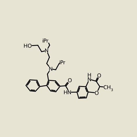 CC(C)CN(CCO)CCN(Cc1cc(C(=O)Nc2ccc3c(c2)NC(=O)C(C)O3)ccc1-c1ccccc1)CC(C)C